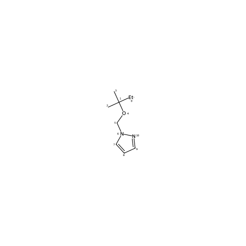 C[CH]C(C)(C)OCn1cccn1